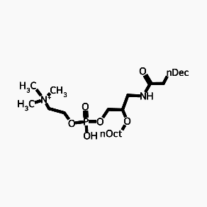 CCCCCCCCCCCC(=O)NCC(COP(=O)(O)OCC[N+](C)(C)C)OCCCCCCCC